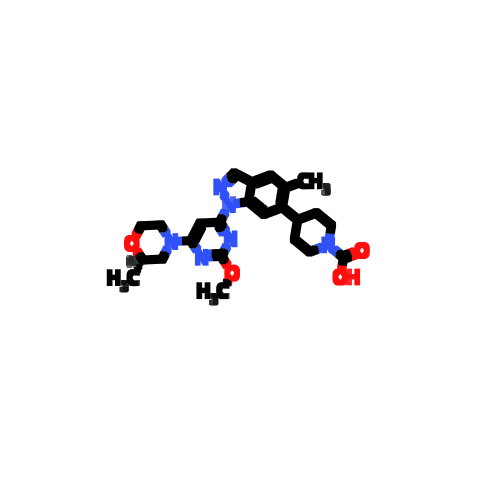 COc1nc(N2CCO[C@@H](C)C2)cc(-n2ncc3cc(C)c(C4CCN(C(=O)O)CC4)cc32)n1